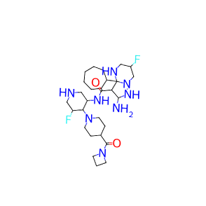 NC1NN2CC(F)CNC2(C2CCCCCC2)C1C(=O)NC1CNCC(F)C1N1CCC(C(=O)N2CCC2)CC1